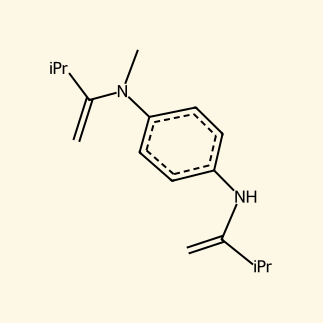 C=C(Nc1ccc(N(C)C(=C)C(C)C)cc1)C(C)C